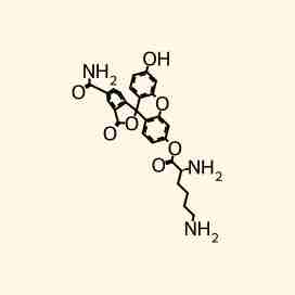 NCCCC[C@H](N)C(=O)Oc1ccc2c(c1)Oc1cc(O)ccc1C21OC(=O)c2cc(C(N)=O)ccc21